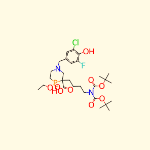 CCOP1(=O)CCN(Cc2cc(F)c(O)c(Cl)c2)CC1(CCCCN(C(=O)OC(C)(C)C)C(=O)OC(C)(C)C)C(=O)O